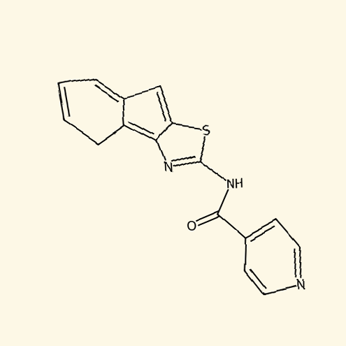 O=C(Nc1nc2c(s1)=CC1=CC=CCC=21)c1ccncc1